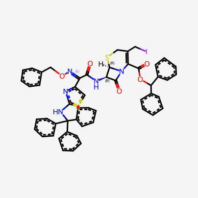 O=C(OC(c1ccccc1)c1ccccc1)C1=C(CI)CS[C@@H]2[C@H](NC(=O)/C(=N/OCc3ccccc3)c3csc(NC(c4ccccc4)(c4ccccc4)c4ccccc4)n3)C(=O)N12